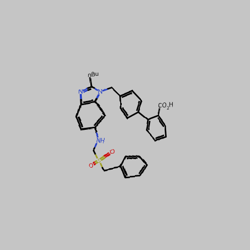 CCCCc1nc2ccc(NCS(=O)(=O)Cc3ccccc3)cc2n1Cc1ccc(-c2ccccc2C(=O)O)cc1